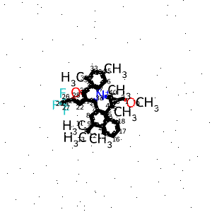 COCC1C2(C)c3c(cc(C(C)(C)C)c4ccccc34)-c3c4cc(C(F)(F)F)oc4c4c(C)cc(C)cc4[n+]3C12C